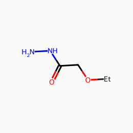 CCOCC(=O)NN